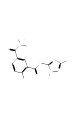 CC(=O)Oc1ccc(C(=O)N(C)C)cc1C(=O)Nc1nc(C(F)(F)F)nn1C